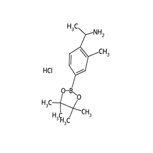 Cc1cc(B2OC(C)(C)C(C)(C)O2)ccc1C(C)N.Cl